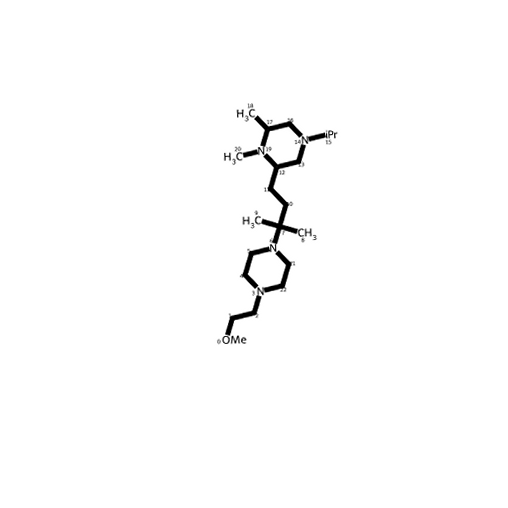 COCCN1CCN(C(C)(C)CCC2CN(C(C)C)CC(C)N2C)CC1